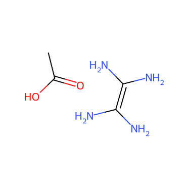 CC(=O)O.NC(N)=C(N)N